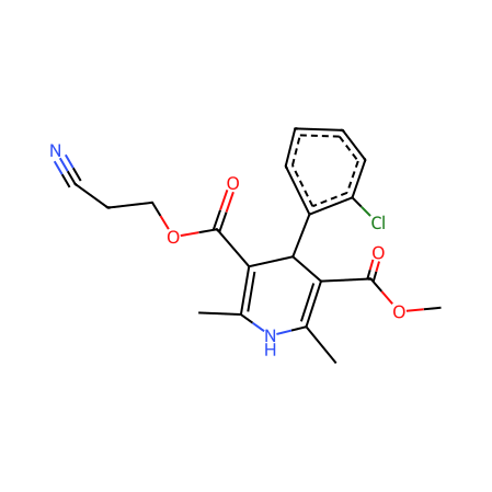 COC(=O)C1=C(C)NC(C)=C(C(=O)OCCC#N)C1c1ccccc1Cl